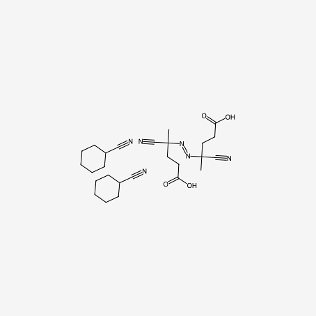 CC(C#N)(CCC(=O)O)N=NC(C)(C#N)CCC(=O)O.N#CC1CCCCC1.N#CC1CCCCC1